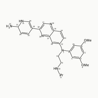 COc1cc(OC)cc(N(CCNC(C)C)c2ccc3ncc(C4=CNC(N)C=C4)nc3c2)c1